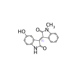 CN1C(=O)/C(=C2/C(=O)Nc3ccc(O)cc32)c2ccccc21